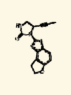 CC#CC1CNC(=O)N1c1nc2c3c(ccc2s1)OCC3